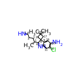 CC(CCC=N)C(=N)C1(c2ccc(Cl)c(N)c2)CC(C)(C)C1